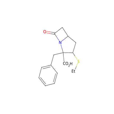 CCSC1CC2CC(=O)N2C1(Cc1ccccc1)C(=O)O